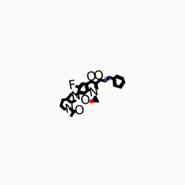 COc1c(N2CC3CCCN(C(C)=O)C3C2)c(F)cc2c(=O)c(C(=O)/C=C/c3ccccc3)cn(C3CC3)c12